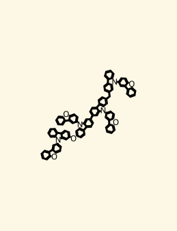 c1ccc2c(c1)oc1ccc(-n3c4ccccc4c4ccc(Cc5ccc6c7ccc(-c8ccc9c%10ccc(Oc%11ccc%12c%13ccccc%13n(-c%13ccc%14oc%15ccccc%15c%14c%13)c%12c%11)cc%10n(-c%10ccc%11oc%12ccccc%12c%11c%10)c9c8)cc7n(-c7ccc8oc9ccccc9c8c7)c6c5)cc43)cc12